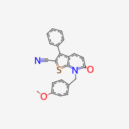 COc1ccc(Cn2c(=O)ccc3c(-c4ccccc4)c(C#N)sc32)cc1